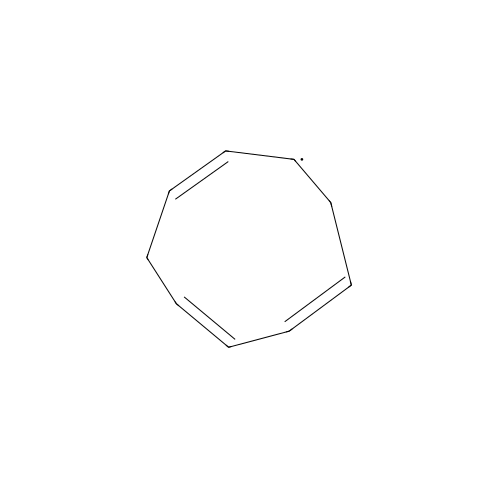 [CH]1C=CCC=CC=CC1